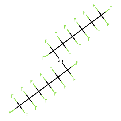 FC(F)(F)C(F)(F)C(F)(F)C(F)(F)C(F)(F)[C](F)(F)[Zn][C](F)(F)C(F)(F)C(F)(F)C(F)(F)C(F)(F)C(F)(F)F